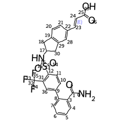 NC(=O)c1ccccc1-c1ccc(S(=O)(=O)NC2Cc3ccc(/C=C/C(=O)O)cc3C2)c(C(F)(F)F)c1